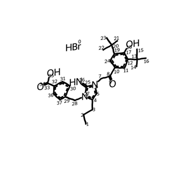 Br.CCCc1cn(CC(=O)c2cc(C(C)(C)C)c(O)c(C(C)(C)C)c2)c(=N)n1Cc1ccc(C(=O)O)cc1